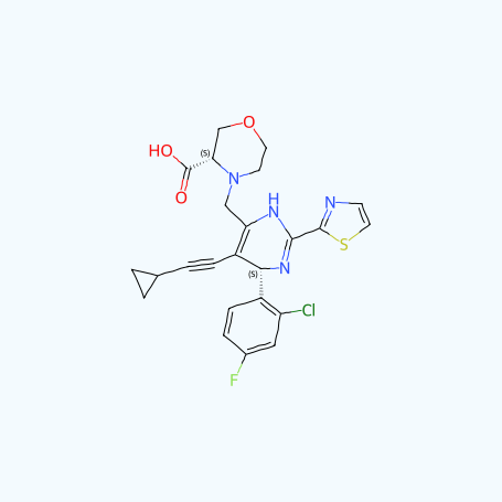 O=C(O)[C@@H]1COCCN1CC1=C(C#CC2CC2)[C@@H](c2ccc(F)cc2Cl)N=C(c2nccs2)N1